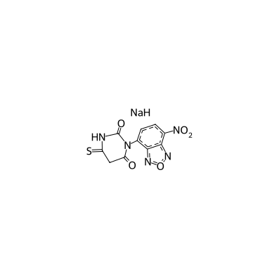 O=C1CC(=S)NC(=O)N1c1ccc([N+](=O)[O-])c2nonc12.[NaH]